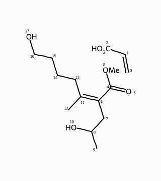 C=CC(=O)O.COC(=O)C(CC(C)O)=C(C)CCCCO